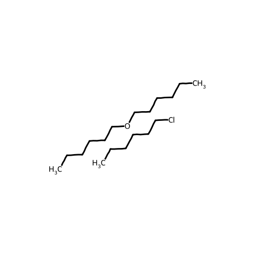 CCCCCCCl.CCCCCCOCCCCCC